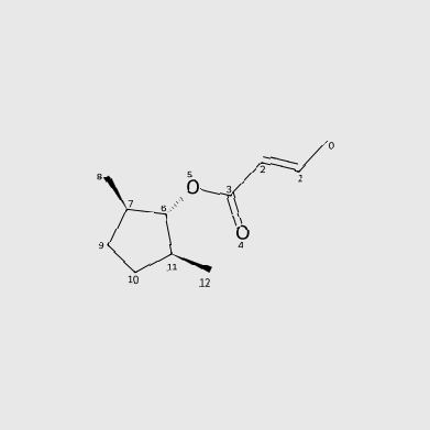 C/C=C/C(=O)O[C@H]1[C@H](C)CC[C@@H]1C